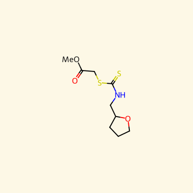 COC(=O)CSC(=S)NCC1CCCO1